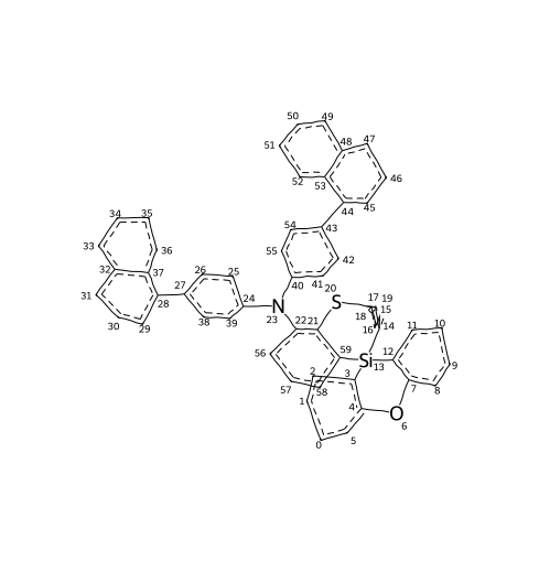 c1ccc2c(c1)Oc1ccccc1[Si]21c2ccccc2Sc2c(N(c3ccc(-c4cccc5ccccc45)cc3)c3ccc(-c4cccc5ccccc45)cc3)cccc21